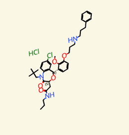 CCCNC(=O)C[C@@H]1O[C@@H](c2cccc(OCCCNCCCc3ccccc3)c2OC)c2cc(Cl)ccc2N(CC(C)(C)C)C1=O.Cl